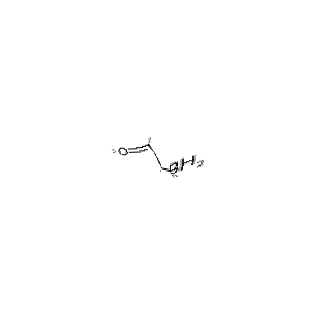 BCC=O